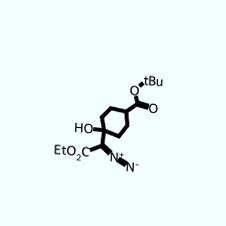 CCOC(=O)C(=[N+]=[N-])C1(O)CCC(C(=O)OC(C)(C)C)CC1